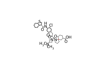 CN(C)C1CN(C(OC2CCC(C(=O)O)CC2)(C(=O)Cc2cc(Cl)c(NC(=O)c3csc4ccccc34)cc2Cl)N2CCCC2)C1